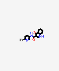 CC(C)c1ccc(NC(=O)c2c[nH]c3ccccc3c2=O)cn1